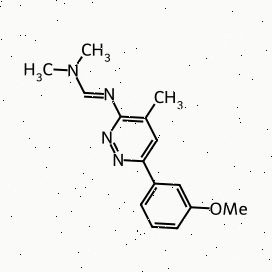 COc1cccc(-c2cc(C)c(N=CN(C)C)nn2)c1